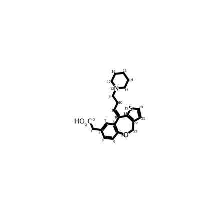 O=C(O)Cc1ccc2c(c1)C(=CCCN1CCCCC1)c1sccc1CO2